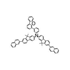 CC1(C)c2cc(-c3ccc4ccccc4c3)ccc2-c2ccc(N(c3cccc(-c4cccc5c4oc4ccccc45)c3)c3ccc4c(c3)C(C)(C)c3cc(-c5ccc6ccccc6c5)ccc3-4)cc21